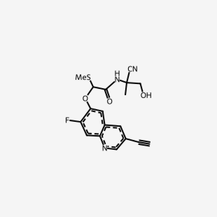 C#Cc1cnc2cc(F)c(OC(SC)C(=O)NC(C)(C#N)CO)cc2c1